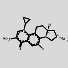 N[C@H]1C[C@H]2CCc3c(c(F)cc4c(=O)c(C(=O)O)cn(C5CC5)c34)N2C1